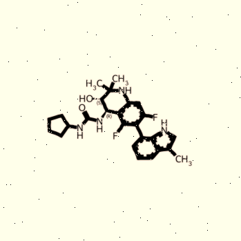 Cc1c[nH]c2c(-c3c(F)cc4c(c3F)[C@@H](NC(=O)NC3CCCC3)[C@H](O)C(C)(C)N4)cccc12